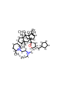 CC(C)CN(CCN1CCCCC1C)C[C@@H]1O[C@@H](C23C[C@@H]4[C@H](C)CC[C@H]4C4(C=O)CC2C=C(C(C)C)[C@]43C(=O)O)C[C@H]1CC1CCCC1